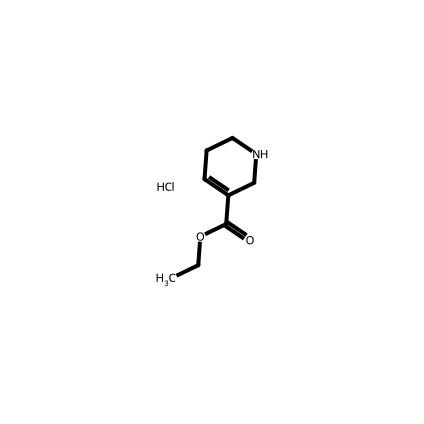 CCOC(=O)C1=CCCNC1.Cl